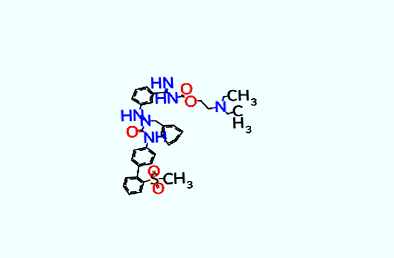 CCN(CC)CCOC(=O)NC(=N)c1cccc(NN(Cc2ccccc2)C(=O)Nc2ccc(-c3ccccc3S(C)(=O)=O)cc2)c1